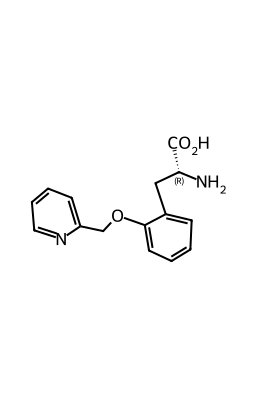 N[C@H](Cc1ccccc1OCc1ccccn1)C(=O)O